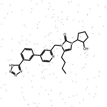 CCCCc1cn(C2CCCC2O)c(=O)n1Cc1cc(-c2cccc(-c3nnn[nH]3)c2)ccn1